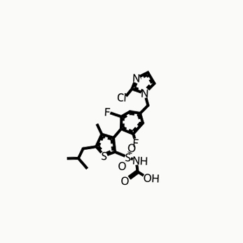 Cc1c(CC(C)C)sc(S(=O)(=O)NC(=O)O)c1-c1c(F)cc(Cn2ccnc2Cl)cc1F